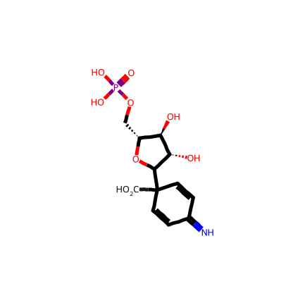 N=C1C=CC(C(=O)O)(C2O[C@H](COP(=O)(O)O)[C@@H](O)[C@@H]2O)C=C1